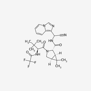 CC(C)(C)[C@H](NC(=O)C(F)(F)F)C(=O)N1C[C@H]2[C@@H]([C@H]1C(=O)NC(C#N)c1ncn3ccccc13)C2(C)C